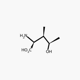 C[C@H]([C@H](N)C(=O)O)[C@@H](C)O